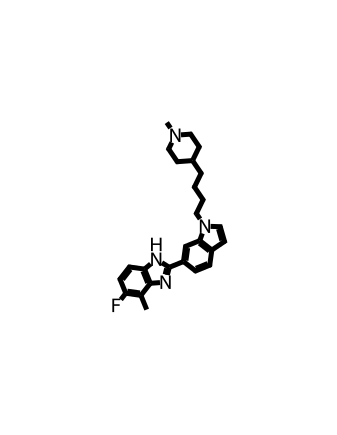 Cc1c(F)ccc2[nH]c(-c3ccc4ccn(CCCCC5CCN(C)CC5)c4c3)nc12